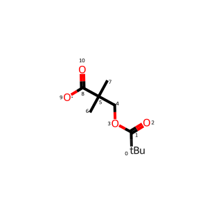 CC(C)(C)C(=O)OCC(C)(C)C([O])=O